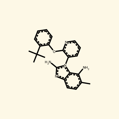 Cc1ccc2nc(N)n(-c3cccnc3Oc3ccccc3C(C)(C)C)c2c1N